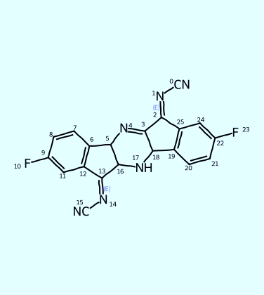 N#C/N=C1/C2=NC3c4ccc(F)cc4/C(=N\C#N)C3NC2c2ccc(F)cc21